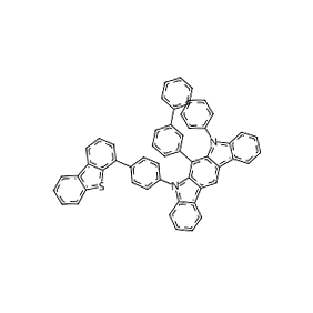 c1ccc(-c2cccc(-c3c4c(cc5c6ccccc6n(-c6ccc(-c7cccc8c7sc7ccccc78)cc6)c35)c3ccccc3n4-c3ccccc3)c2)cc1